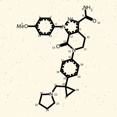 COc1ccc(-n2nc(C(N)=O)c3c2C(=O)N(c2ccc(C4(CN5CCCC5)CC4)cc2)CC3)cc1